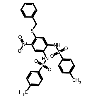 Cc1ccc(S(=O)(=O)Nc2cc(SCc3ccccc3)c([N+](=O)[O-])cc2NS(=O)(=O)c2ccc(C)cc2)cc1